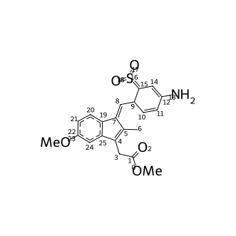 COC(=O)CC1=C(C)C(=CC2C=CC(N)=CC2=S(=O)=O)c2ccc(OC)cc21